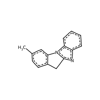 Cc1ccc2c(c1)-n1c(nc3ccccc31)C2